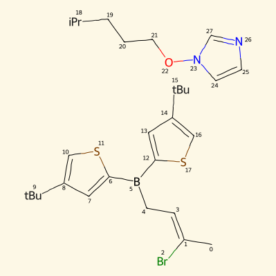 CC(Br)=CCB(c1cc(C(C)(C)C)cs1)c1cc(C(C)(C)C)cs1.CC(C)CCCOn1ccnc1